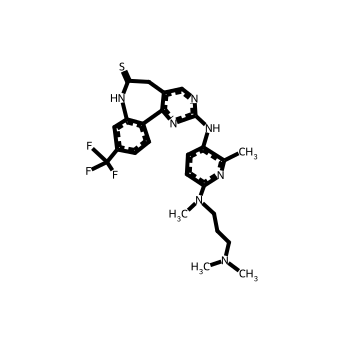 Cc1nc(N(C)CCCN(C)C)ccc1Nc1ncc2c(n1)-c1ccc(C(F)(F)F)cc1NC(=S)C2